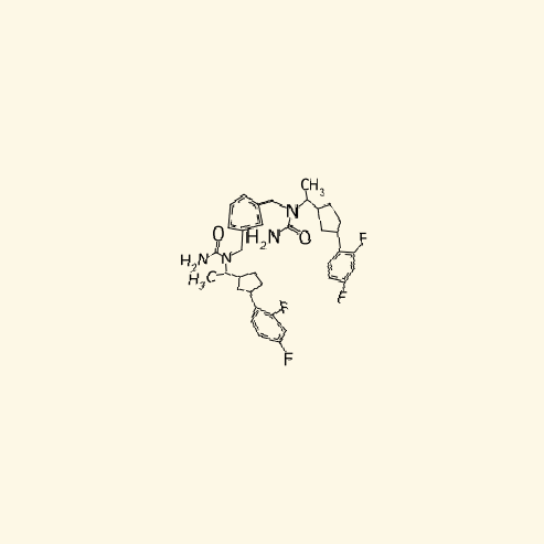 CC(C1CCC(c2ccc(F)cc2F)C1)N(Cc1cccc(CN(C(N)=O)C(C)C2CCC(c3ccc(F)cc3F)C2)c1)C(N)=O